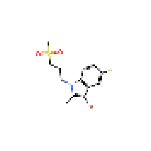 Cc1c(Br)c2cc(F)ccc2n1CCCS(C)(=O)=O